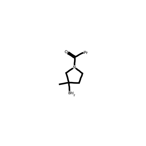 BC1(C)CCN(C(=O)C(C)C)C1